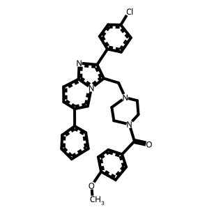 COc1ccc(C(=O)N2CCN(Cc3c(-c4ccc(Cl)cc4)nc4ccc(-c5ccccc5)cn34)CC2)cc1